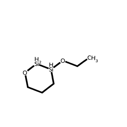 CCO[SiH]1CCCO[SiH2]1